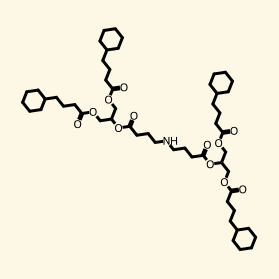 O=C(CCCC1CCCCC1)OCC(COC(=O)CCCC1CCCCC1)OC(=O)CCCNCCCC(=O)OC(COC(=O)CCCC1CCCCC1)COC(=O)CCCC1CCCCC1